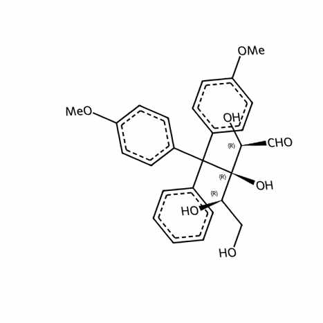 COc1ccc(C(c2ccccc2)(c2ccc(OC)cc2)[C@@](O)([C@H](O)CO)[C@@H](O)C=O)cc1